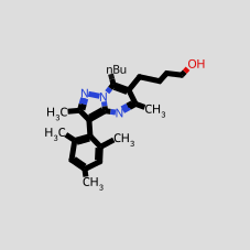 CCCCc1c(CCCCO)c(C)nc2c(-c3c(C)cc(C)cc3C)c(C)nn12